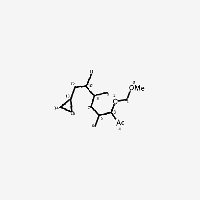 COCOC(C(C)=O)C(C)CC(C)C(C)CC1CC1